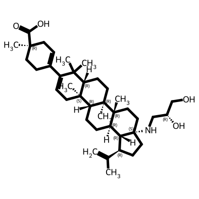 C=C(C)[C@@H]1CC[C@]2(NC[C@@H](O)CO)CC[C@]3(C)[C@H](CC[C@@H]4[C@@]5(C)CC=C(C6=CC[C@](C)(C(=O)O)CC6)C(C)(C)[C@@H]5CC[C@]43C)[C@@H]12